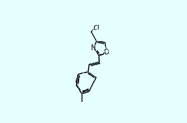 Cc1ccc(C=Cc2nc(CCl)co2)cc1